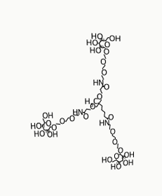 CC(CCCCC(=O)NCCOCCOCCOC1OC(CO)[C@@H](O)C(O)[C@H]1O)(COCCC(=O)NCCOCCOCCOC1OC(CO)[C@@H](O)C(O)[C@H]1O)COCCC(=O)NCCOCCOCCOC1OC(CO)[C@@H](O)C(O)[C@H]1O